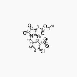 CCOC(=O)CN1C(=O)C(=O)N(Cc2ccc(Cl)c([N+](=O)[O-])c2)C1=O